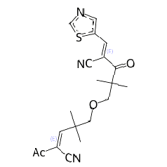 CC(=O)/C(C#N)=C/C(C)(C)COCC(C)(C)C(=O)/C(C#N)=C/c1cncs1